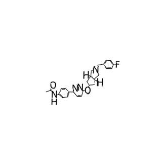 CC(=O)Nc1ccc(-c2ccc(OC3C[C@@H]4CN(Cc5ccc(F)cc5)C[C@@H]4C3)nn2)cc1